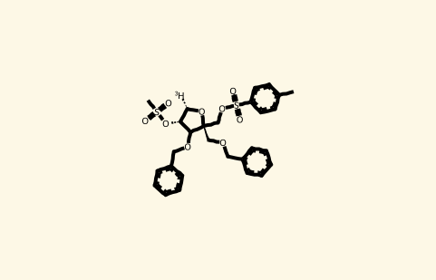 [3H][C@@H]1O[C@](COCc2ccccc2)(COS(=O)(=O)c2ccc(C)cc2)C(OCc2ccccc2)[C@@H]1OS(C)(=O)=O